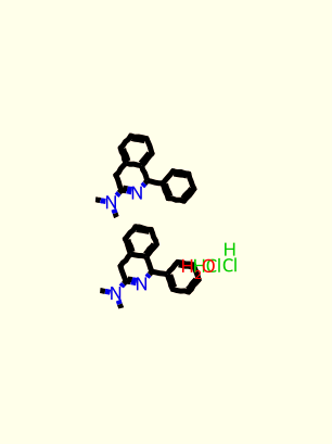 CN(C)C1=NC(c2ccccc2)c2ccccc2C1.CN(C)C1=NC(c2ccccc2)c2ccccc2C1.Cl.Cl.O